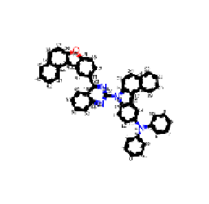 c1ccc(N(c2ccccc2)c2ccc3c(c2)c2c4ccccc4ccc2n3-c2nc(-c3ccc4oc5ccc6ccccc6c5c4c3)c3ccccc3n2)cc1